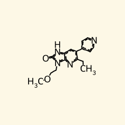 CCc1nc2c(cc1-c1ccncc1)[nH]c(=O)n2CCOC